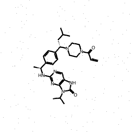 C=CC(=O)N1CCN([C@@H](CC(C)C)c2ccc([C@H](C)Nc3ncc4[nH]c(=O)n(C(C)C)c4n3)cc2)CC1